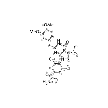 COc1ccc(Cc2nc3c(c(N(C)C)nn3-c3c(Cl)cc(S(N)(=O)=O)cc3Cl)c(=O)[nH]2)cc1OC